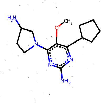 COc1c(C2CCCC2)nc(N)nc1N1CCC(N)C1